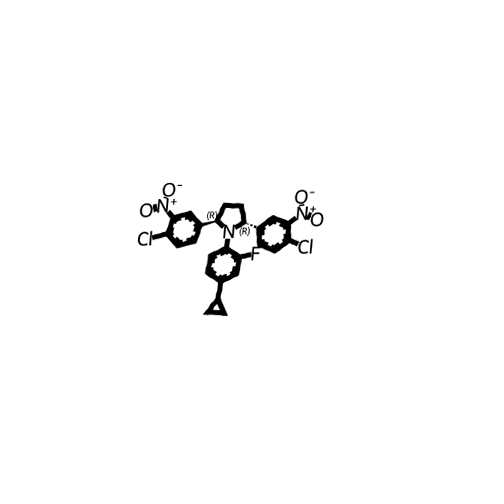 O=[N+]([O-])c1cc([C@H]2CC[C@H](c3ccc(Cl)c([N+](=O)[O-])c3)N2c2ccc(C3CC3)cc2F)ccc1Cl